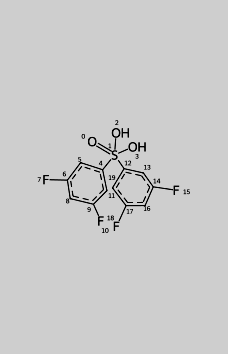 O=S(O)(O)(c1cc(F)cc(F)c1)c1cc(F)cc(F)c1